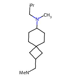 CNCC1CC2(CCC(N(C)CC(C)C)CC2)C1